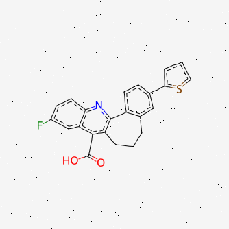 O=C(O)c1c2c(nc3ccc(F)cc13)-c1ccc(-c3cccs3)cc1CCC2